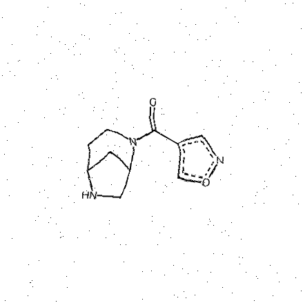 O=C(c1cnoc1)N1CCC2CC1CN2